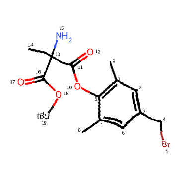 Cc1cc(CBr)cc(C)c1OC(=O)C(C)(N)C(=O)OC(C)(C)C